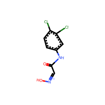 O=C(/C=N\O)Nc1ccc(Cl)c(Cl)c1